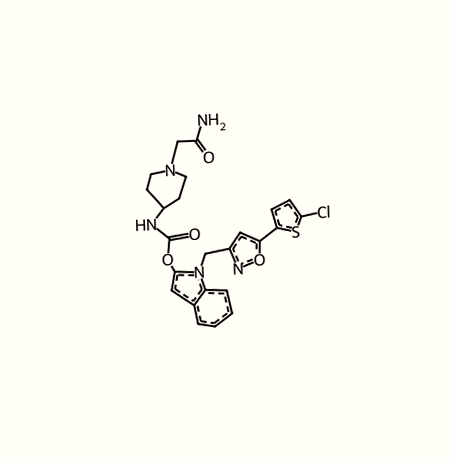 NC(=O)CN1CCC(NC(=O)Oc2cc3ccccc3n2Cc2cc(-c3ccc(Cl)s3)on2)CC1